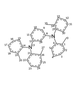 Cc1ccccc1N(c1cccc(N(c2ccccc2C)c2ccccc2C)c1)c1ccccc1C